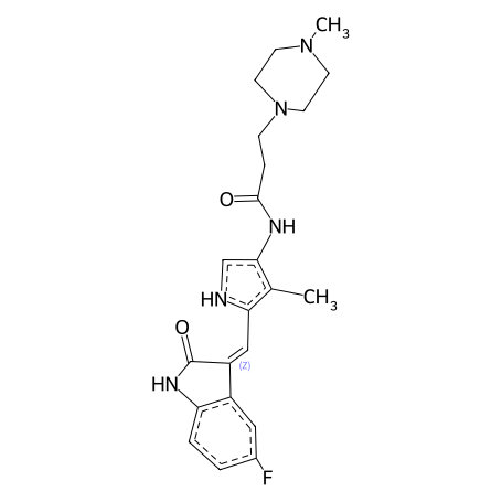 Cc1c(NC(=O)CCN2CCN(C)CC2)c[nH]c1/C=C1\C(=O)Nc2ccc(F)cc21